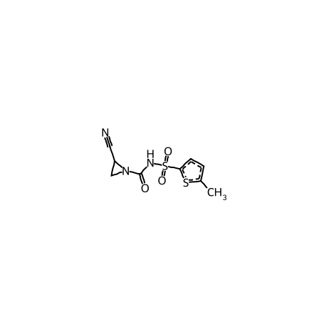 Cc1ccc(S(=O)(=O)NC(=O)N2CC2C#N)s1